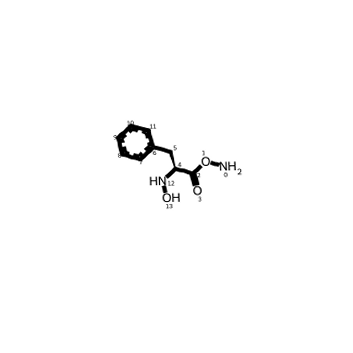 NOC(=O)[C@H](Cc1ccccc1)NO